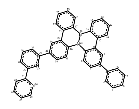 c1ccc(-c2ccc3c(c2)-c2ccccc2B2c4ccccc4-c4cc(-c5cccc(-c6ccccn6)n5)ccc4N23)cc1